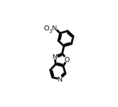 O=[N+]([O-])c1cccc(-c2nc3ccncc3o2)c1